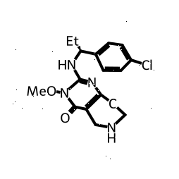 CC[C@H](Nc1nc2c(c(=O)n1OC)CNCC2)c1ccc(Cl)cc1